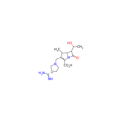 CC(O)C1C(=O)N2C(C(=O)O)=C(CN3CC[C@H](C(=N)N)C3)C(C)C12